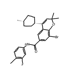 Cc1ccc(NC(=O)c2cc(Br)c3c(c2)C([C@H]2CC[C@@H](C)CC2)=CC(C)(C)O3)cc1F